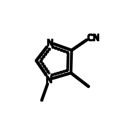 Cc1c(C#N)ncn1C